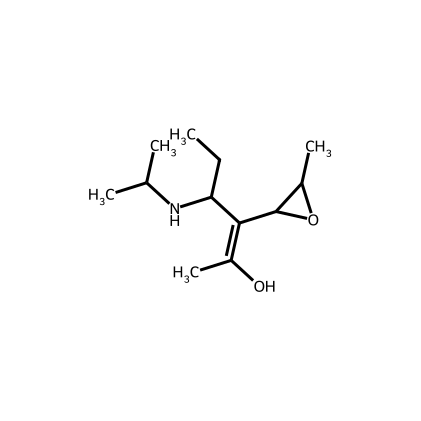 CCC(NC(C)C)/C(=C(\C)O)C1OC1C